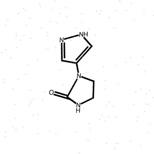 O=C1NCCN1c1cn[nH]c1